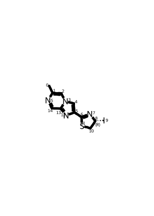 Cc1cn2cc(C3=N[C@H](I)CS3)nc2cn1